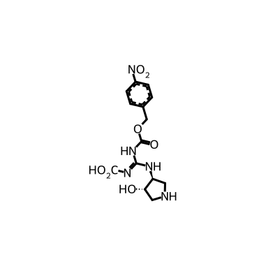 O=C(O)/N=C(\NC(=O)OCc1ccc([N+](=O)[O-])cc1)N[C@H]1CNC[C@@H]1O